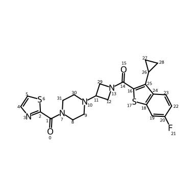 O=C(c1nccs1)N1CCN(C2CN(C(=O)c3sc4cc(F)ccc4c3C3CC3)C2)CC1